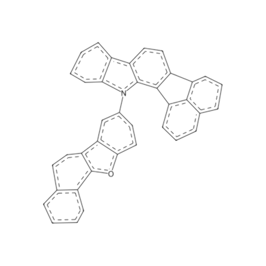 c1cc2c3c(cccc3c1)-c1c-2ccc2c3ccccc3n(-c3ccc4oc5c6ccccc6ccc5c4c3)c12